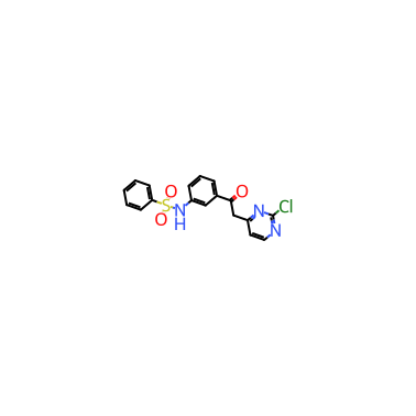 O=C(Cc1ccnc(Cl)n1)c1cccc(NS(=O)(=O)c2ccccc2)c1